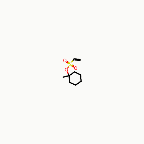 C=CS(=O)(=O)OC1(C)CCCCC1